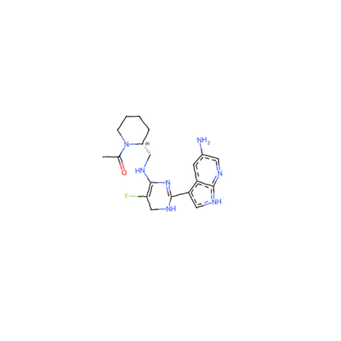 CC(=O)N1CCCC[C@@H]1CNC1=C(F)CNC(c2c[nH]c3ncc(N)cc23)=N1